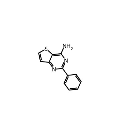 Nc1nc(-c2ccccc2)nc2ccsc12